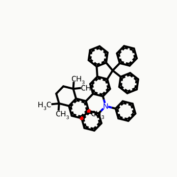 Cc1ccc2c(c1-c1cc3c(cc1N(c1ccccc1)c1ccccc1)C(c1ccccc1)(c1ccccc1)c1ccccc1-3)C(C)(C)CCC2(C)C